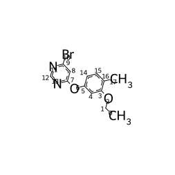 CCOc1cc(Oc2cc(Br)ncn2)ccc1C